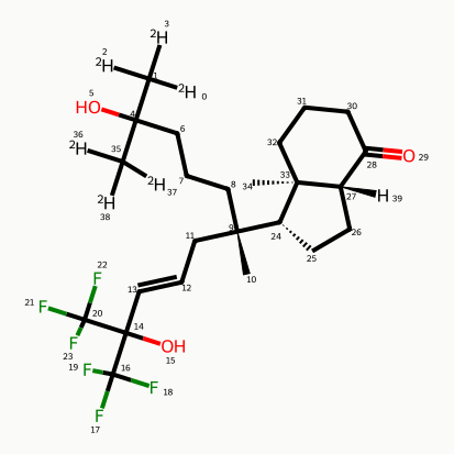 [2H]C([2H])([2H])C(O)(CCC[C@@](C)(C/C=C/C(O)(C(F)(F)F)C(F)(F)F)[C@H]1CC[C@H]2C(=O)CCC[C@]12C)C([2H])([2H])[2H]